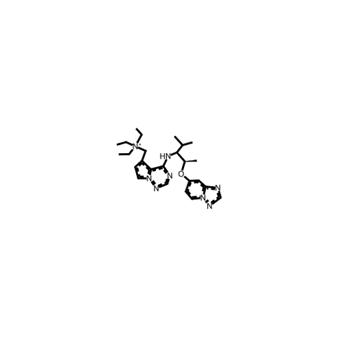 CC[N+](CC)(CC)Cc1ccn2ncnc(NC(C(C)C)[C@@H](C)Oc3ccn4ncnc4c3)c12